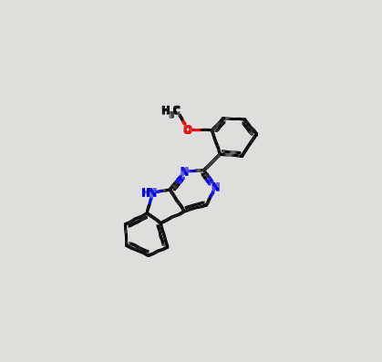 COc1ccccc1-c1ncc2c(n1)[nH]c1ccccc12